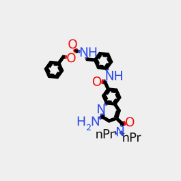 CCCN(CCC)C(=O)C1=Cc2ccc(C(=O)Nc3cccc(CNC(=O)OCc4ccccc4)c3)cc2N=C(N)C1